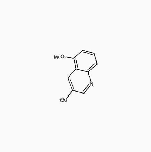 COc1cccc2ncc(C(C)(C)C)cc12